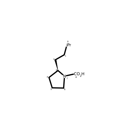 CC(C)CC[C@@H]1CCCN1C(=O)O